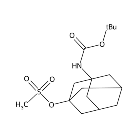 CC(C)(C)OC(=O)NC12CC3CC(C1)CC(OS(C)(=O)=O)(C3)C2